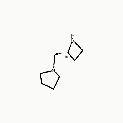 C1CCN(C[C@H]2CCN2)C1